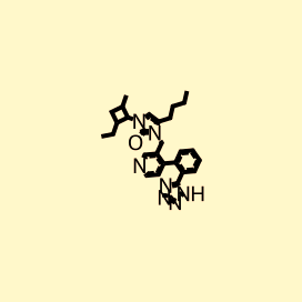 CCCCc1cn(C2C(C)CC2CC)c(=O)n1Cc1cnccc1-c1ccccc1-c1nnn[nH]1